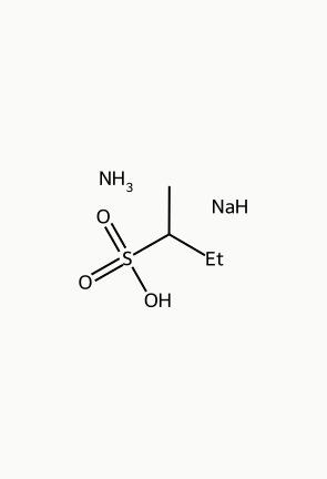 CCC(C)S(=O)(=O)O.N.[NaH]